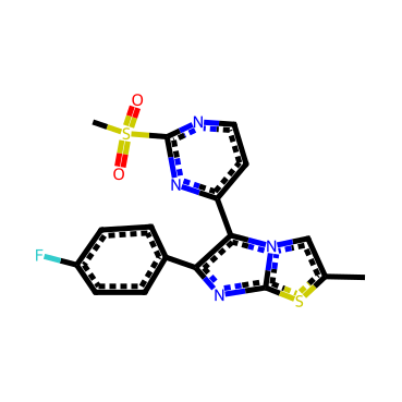 Cc1cn2c(-c3ccnc(S(C)(=O)=O)n3)c(-c3ccc(F)cc3)nc2s1